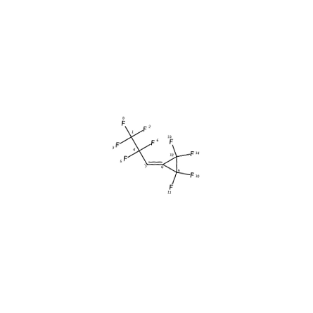 FC(F)(F)C(F)(F)[C]=C1C(F)(F)C1(F)F